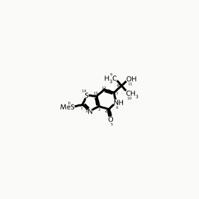 CSc1nc2c(=O)[nH]c(C(C)(C)O)cc2s1